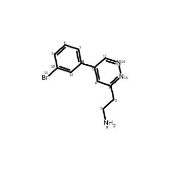 NCCc1cc(-c2cccc(Br)c2)cnn1